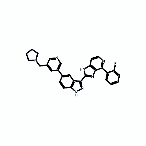 Fc1ccccc1-c1nccc2[nH]c(-c3n[nH]c4ccc(-c5cncc(CN6CCCC6)c5)cc34)nc12